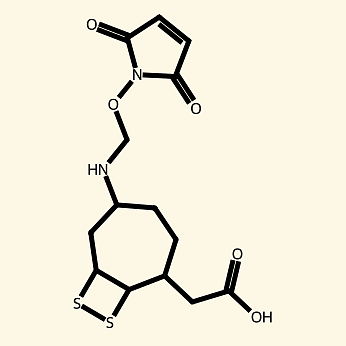 O=C(O)CC1CCC(NCON2C(=O)C=CC2=O)CC2SSC12